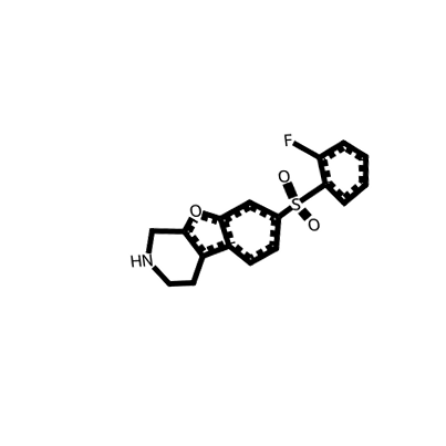 O=S(=O)(c1ccc2c3c(oc2c1)CNCC3)c1ccccc1F